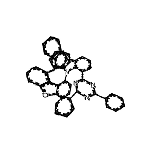 c1ccc(-c2nc(-c3ccccc3)nc(-c3cccc4c5ccccc5n(-c5cccc6oc7cccc(-c8cccc9ccccc89)c7c56)c34)n2)cc1